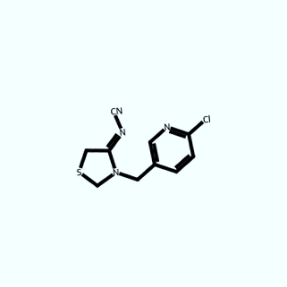 N#CN=C1CSCN1Cc1ccc(Cl)nc1